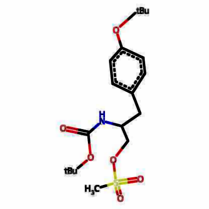 CC(C)(C)OC(=O)NC(COS(C)(=O)=O)Cc1ccc(OC(C)(C)C)cc1